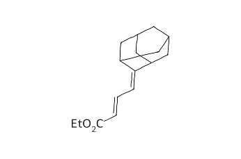 CCOC(=O)/C=C/C=C1C2CC3CC(C2)CC1C3